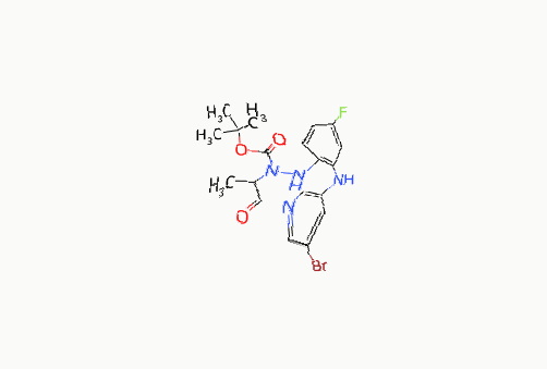 CC(C=O)N(Nc1ccc(F)cc1Nc1cncc(Br)c1)C(=O)OC(C)(C)C